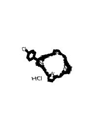 Cl.Clc1ccc(-c2cc3cc4nc(cc5ccc(cc6nc(cc2[nH]3)C=C6)[nH]5)C=C4)cc1